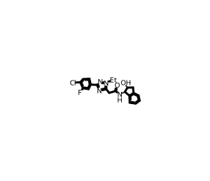 CCn1nc(-c2ccc(Cl)c(F)c2)nc1CC(=O)N[C@@H]1c2ccccc2C[C@@H]1O